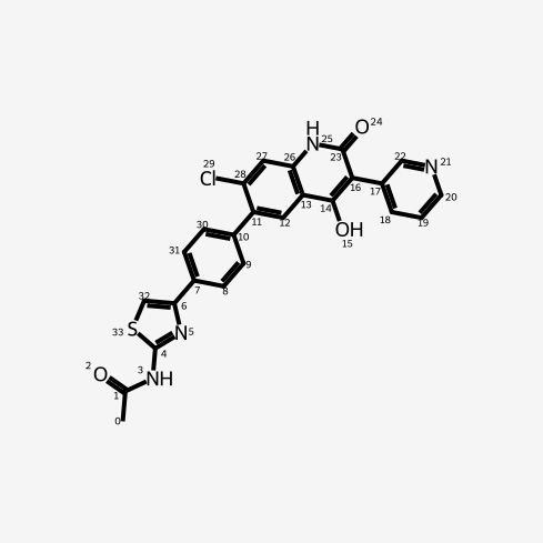 CC(=O)Nc1nc(-c2ccc(-c3cc4c(O)c(-c5cccnc5)c(=O)[nH]c4cc3Cl)cc2)cs1